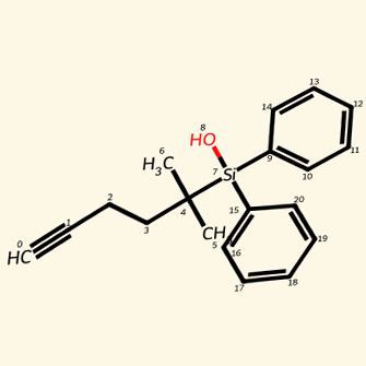 C#CCCC(C)(C)[Si](O)(c1ccccc1)c1ccccc1